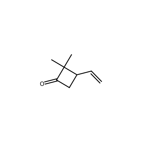 C=CC1CC(=O)C1(C)C